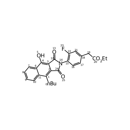 CCCCc1c2c(c(O)c3ccccc13)C(=O)N(c1ccc(CC(=O)OCC)cc1F)C2=O